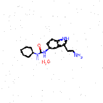 NCCc1c[nH]c2ccc(NC(=O)NC3CCCCC3)cc12.O